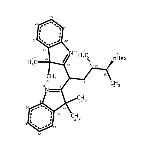 CCCCCC[C@@H](C)[C@@H](C)CC(C1=Nc2ccccc2C1(C)C)C1=Nc2ccccc2C1(C)C